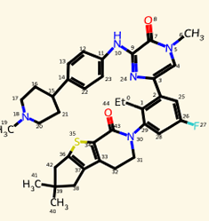 CCc1c(-c2cn(C)c(=O)c(Nc3ccc(C4CCN(C)CC4)cc3)n2)cc(F)cc1N1CCc2c(sc3c2CC(C)(C)C3)C1=O